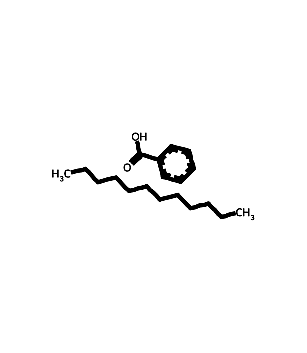 CCCCCCCCCCCC.O=C(O)c1ccccc1